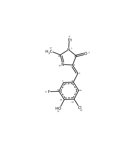 CCN1C(=O)/C(=C/c2cc(F)c(O)c(Cl)c2)N=C1C